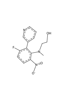 CN(CCO)c1c([N+](=O)[O-])ccc(F)c1-c1cccnc1